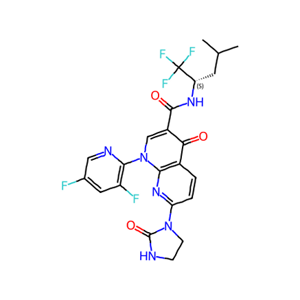 CC(C)C[C@H](NC(=O)c1cn(-c2ncc(F)cc2F)c2nc(N3CCNC3=O)ccc2c1=O)C(F)(F)F